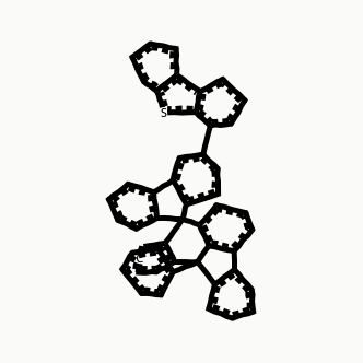 c1ccc(C23c4ccccc4-c4cccc(c42)C2(c4ccccc4-c4cc(-c5cccc6c5sc5ccccc56)ccc42)c2ccccc23)cc1